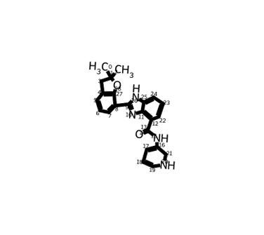 CC1(C)Cc2cccc(-c3nc4c(C(=O)NC5=CC=CNC5)cccc4[nH]3)c2O1